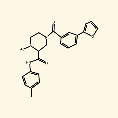 CC(=O)N1CCN(C(=O)c2cccc(-c3ccco3)c2)CC1C(=O)Nc1ccc(C)cc1